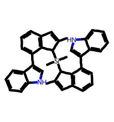 CC1=Cc2cccc(-c3c[nH]c4ccccc34)c2C1[Si](C)(C)C1C(C)=Cc2cccc(-c3c[nH]c4ccccc34)c21